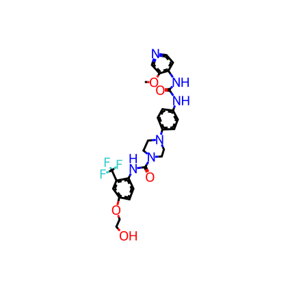 COc1cnccc1NC(=O)Nc1ccc(N2CCN(C(=O)Nc3ccc(OCCO)cc3C(F)(F)F)CC2)cc1